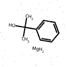 CC(C)(O)c1ccccc1.[MgH2]